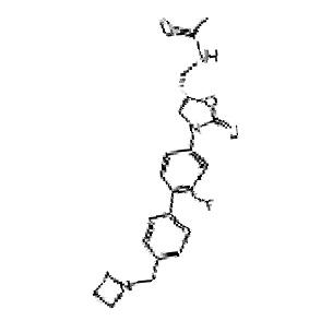 CC(=O)NC[C@H]1CN(c2ccc(-c3ccc(CN4CCC4)cc3)c(F)c2)C(=O)O1